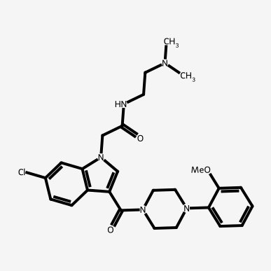 COc1ccccc1N1CCN(C(=O)c2cn(CC(=O)NCCN(C)C)c3cc(Cl)ccc23)CC1